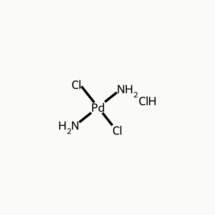 Cl.[NH2][Pd]([NH2])([Cl])[Cl]